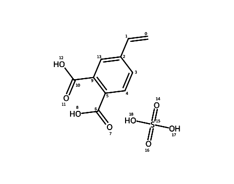 C=Cc1ccc(C(=O)O)c(C(=O)O)c1.O=S(=O)(O)O